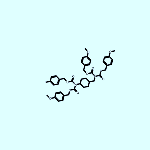 COc1ccc(COC(=O)N(CC2CCC(N(C(=O)OCc3ccc(C)cc3)C(=O)OCc3ccc(OC)cc3)CC2)C(=O)OCc2ccc(OC)cc2)cc1